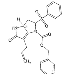 C=CCC1=C2[C@H](CC(S(=O)(=O)c3ccccc3)N2C(=O)OCc2ccccc2)NC1=O